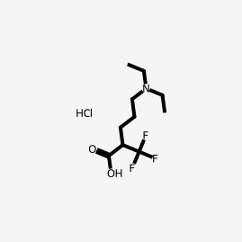 CCN(CC)CCCC(C(=O)O)C(F)(F)F.Cl